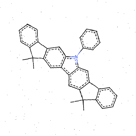 CC1(C)c2ccccc2-c2cc3c(cc21)c1cc2c(cc1n3-c1ccccc1)-c1ccccc1C2(C)C